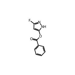 O=C(Oc1cc(F)n[nH]1)c1ccccc1